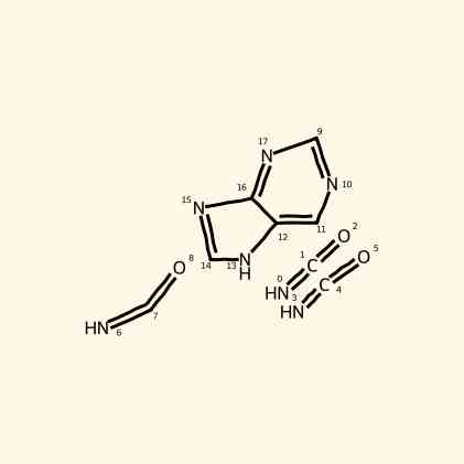 N=C=O.N=C=O.N=C=O.c1ncc2[nH]cnc2n1